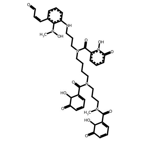 CN(CCCN(CCCCN(CCCNc1cccc(/C=C\C=O)c1N(C)O)C(=O)c1cccc(=O)n1O)C(=O)C1=CC=CC(=O)C1O)C(=O)C1=CC=CC(=O)C1O